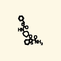 NC(=O)c1sc2ccccc2c1OC1CCC[C@H](NC(=O)OCc2ccccc2)CC1